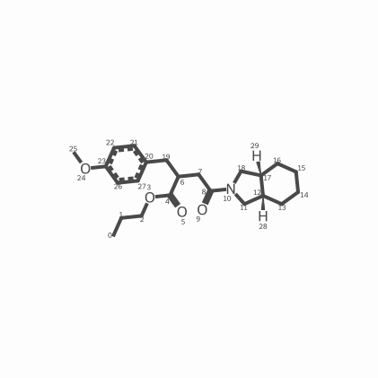 CCCOC(=O)C(CC(=O)N1C[C@H]2CCCC[C@H]2C1)Cc1ccc(OC)cc1